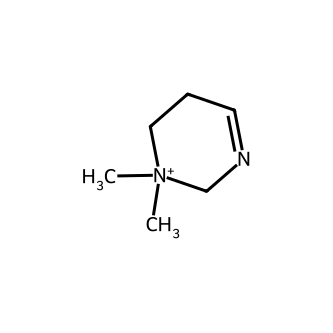 C[N+]1(C)CCC=NC1